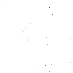 CC(C)(C)OC(=O)n1ccc2cc(COC3CCCCC3)ccc21